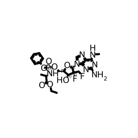 CCOC(=O)C(C)N[P@](=O)(OC[C@H]1O[C@@H](n2cnc3c(NC)nc(N)nc32)[C@@](F)(CF)[C@@H]1O)Oc1ccccc1